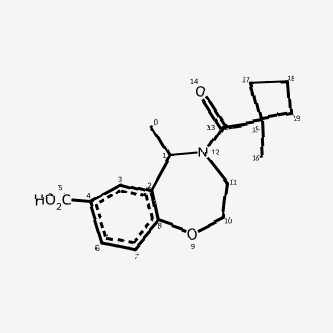 CC1c2cc(C(=O)O)ccc2OCCN1C(=O)C1(C)CCC1